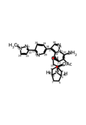 CC(=O)c1c([C@@H]2C[C@H]3CC[C@@H](C2)N3C(=O)CO)nc2c(-c3ccc(-c4ccn(C)n4)nc3)cnn2c1N